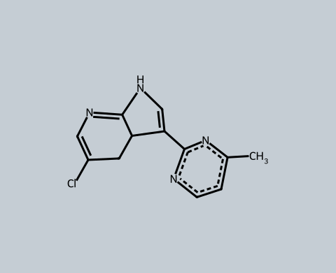 Cc1ccnc(C2=CNC3=NC=C(Cl)CC23)n1